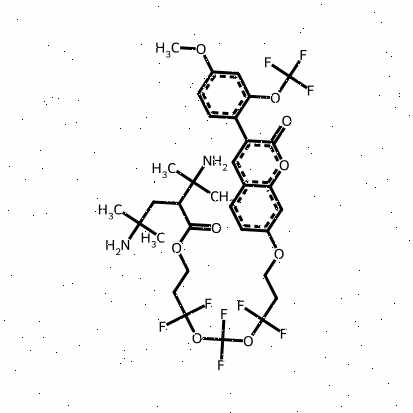 COc1ccc(-c2cc3ccc(OCCC(F)(F)OC(F)(F)OC(F)(F)CCOC(=O)C(CC(C)(C)N)C(C)(C)N)cc3oc2=O)c(OC(F)(F)F)c1